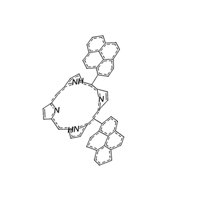 C1=Cc2cc3ccc([nH]3)c(-c3ccc4ccc5cccc6ccc3c4c56)c3nc(c(-c4ccc5ccc6cccc7ccc4c5c67)c4ccc(cc1n2)[nH]4)C=C3